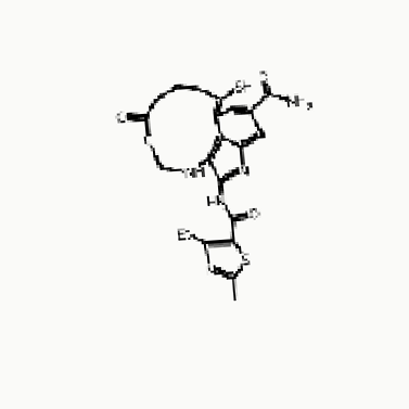 CCc1nc(C)sc1C(=O)NC1=Nc2cc(C(N)=O)c/c3c2=C1NCCC(=O)CCC/C=3S